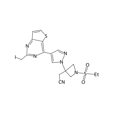 CCS(=O)(=O)N1CC(CC#N)(n2cc(-c3nc(CI)nc4ccsc34)cn2)C1